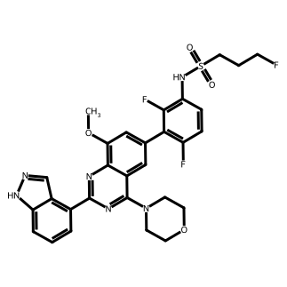 COc1cc(-c2c(F)ccc(NS(=O)(=O)CCCF)c2F)cc2c(N3CCOCC3)nc(-c3cccc4[nH]ncc34)nc12